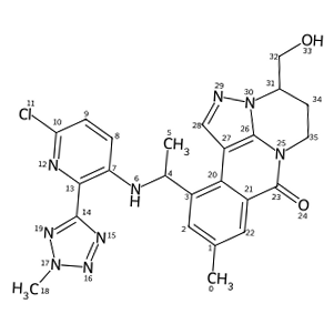 Cc1cc(C(C)Nc2ccc(Cl)nc2-c2nnn(C)n2)c2c(c1)c(=O)n1c3c2cnn3C(CO)CC1